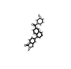 CN1Cc2cc(-c3cccc4cc(C(=O)N5CCC[C@@H](F)C5)ccc34)ccc2C1=O